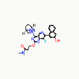 CN(C)C(=O)CCOc1nc(N2C[C@H]3CC[C@@H](C2)N3)c2cnc(-c3cc(O)cc4ccccc34)c(F)c2n1